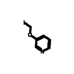 ICOc1cccnc1